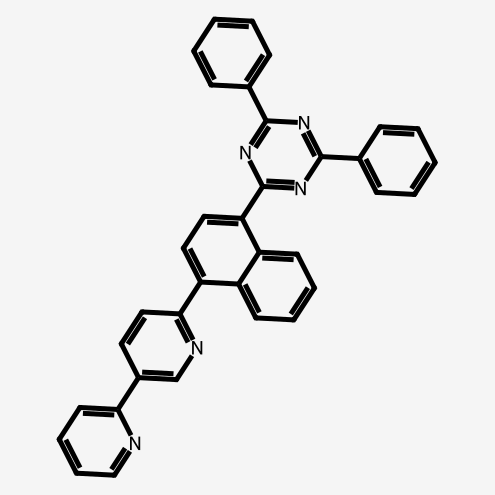 c1ccc(-c2nc(-c3ccccc3)nc(-c3ccc(-c4ccc(-c5ccccn5)cn4)c4ccccc34)n2)cc1